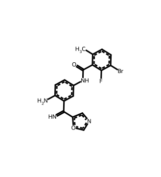 Cc1ccc(Br)c(F)c1C(=O)Nc1ccc(N)c(C(=N)c2cnco2)c1